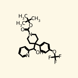 CC(C)(C)OC(=O)N1CCC(c2ccc(OC(F)(F)F)cc2)(C(O)c2ccccn2)CC1